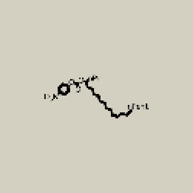 CCCCC/C=C\C/C=C\CCCCCCCCC(CCC)OC(=O)Oc1ccc([N+](=O)[O-])cc1